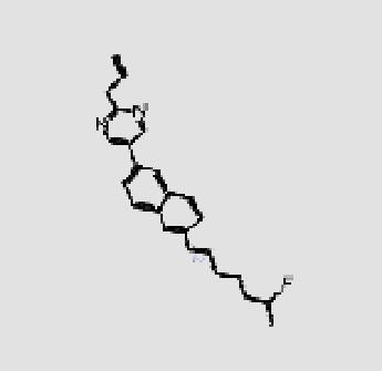 C=CCc1ncc(-c2ccc3cc(/C=C/CCCC(C)F)ccc3c2)cn1